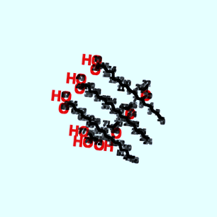 CCCCCCC(CCCCCCCCCCC(=O)O)OC(C)C.CCCCCCC(CCCCCCCCCCC(=O)O)OC(C)C.CCCCCCC(CCCCCCCCCCC(=O)O)OC(C)C.OCC(O)CO